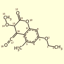 CCOc1cc(C)c2c(c1)OC(=O)C(OC)C2=C=O